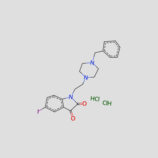 Cl.Cl.O=C1C(=O)N(CCN2CCN(Cc3ccccc3)CC2)c2ccc(I)cc21